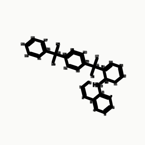 C/C=C\c1ccccc1NC1CC=CC=C1C(C)(C)C1=C=C=C(C(C)(C)c2ccccc2)C=C1